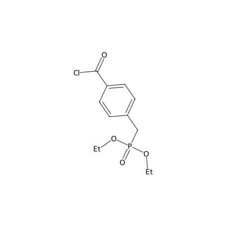 CCOP(=O)(Cc1ccc(C(=O)Cl)cc1)OCC